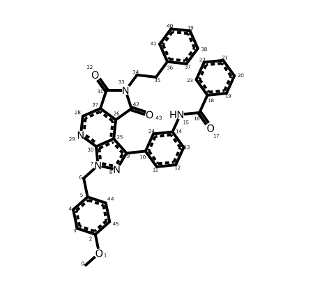 COc1ccc(Cn2nc(-c3cccc(NC(=O)c4ccccc4)c3)c3c4c(cnc32)C(=O)N(CCc2ccccc2)C4=O)cc1